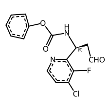 O=CC[C@H](NC(=O)Oc1ccccc1)c1nccc(Cl)c1F